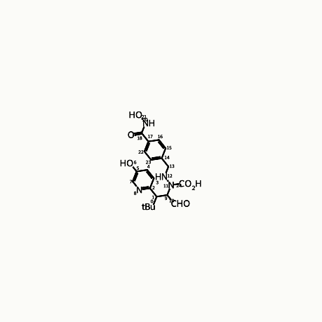 CC(C)(C)C(c1ccc(O)cn1)C(C=O)N(NCc1ccc(C(=O)NO)cc1)C(=O)O